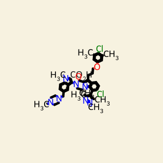 Cc1cc(OCCCc2c3n(c4c(-c5c(C)nn(C)c5C)c(Cl)ccc24)[C@H](C)CN(c2c(C(=O)O)n(C)c4ccc(CN5CCN(C)CC5)cc24)C3=O)cc(C)c1Cl